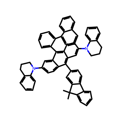 CC1(C)c2ccccc2-c2ccc(-c3c4cc(N5CCCc6ccccc65)ccc4c(-c4ccccc4-c4cccc5ccccc45)c4cc(N5CCCc6ccccc65)ccc34)cc21